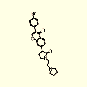 O=C1C(c2ccc3c(=O)c(-c4ccc(Br)cc4)coc3c2)CCN1CCN1CCCC1